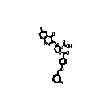 Cc1cccc(COc2ccc(C(=O)[C@H]3CC[C@@H](Cn4nnc5ccc(C)cc5c4=O)[C@@H]3C(=O)O)cc2)c1